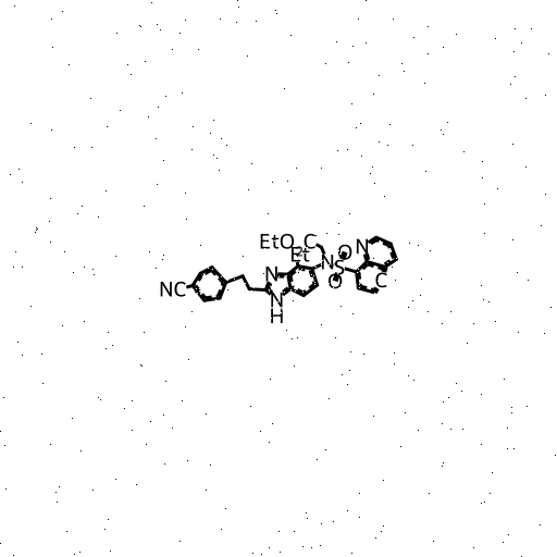 CCOC(=O)CN(c1ccc2[nH]c(CCc3ccc(C#N)cc3)nc2c1CC)S(=O)(=O)c1cccc2cccnc12